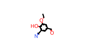 CCOc1cc(C=O)cc(C#N)c1O